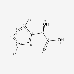 Cc1ccc(C)c([C@@H](O)C(=O)O)c1